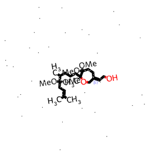 COC(CC=C(C)C)(OC)C(C)CCC[C@]1(C)OC/C(=C/CO)CCC1(OC)OC